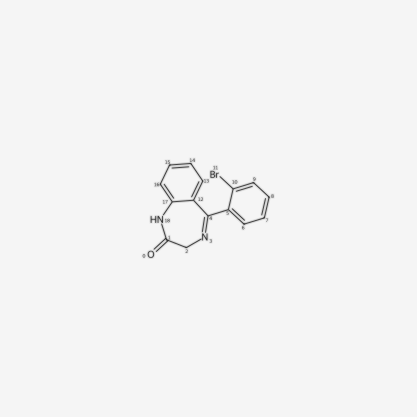 O=C1CN=C(c2ccccc2Br)c2ccccc2N1